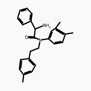 Cc1ccc(CCN(C(=O)C(N)c2ccccc2)c2ccc(C)c(C)c2)cc1